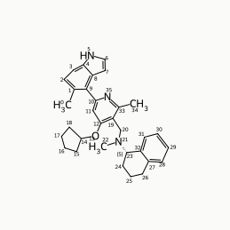 Cc1ccc2[nH]ccc2c1-c1cc(OC2CCCC2)c(CN(C)[C@H]2CCCc3ccccc32)c(C)n1